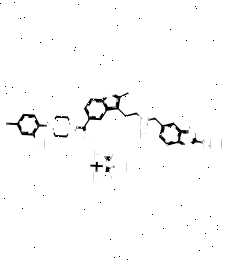 Cc1sc2ccc(C(=O)N3CCN(c4ccc(Cl)cc4Cl)CC3)cc2c1CCNCc1ccc2sc(N)nc2c1.O=S(=O)(O)C(F)(F)F